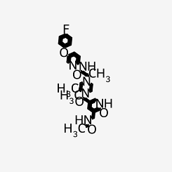 CC(=O)NCc1cc(C(=O)N2CCN(C(C)C(=O)Nc3ccc(Oc4ccc(F)cc4)cn3)CC2(C)C)c[nH]c1=O